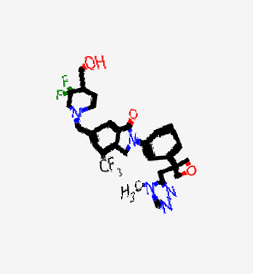 Cn1cnnc1CC1(c2cccc(N3Cc4c(cc(CN5CCC(CO)C(F)(F)C5)cc4C(F)(F)F)C3=O)c2)COC1